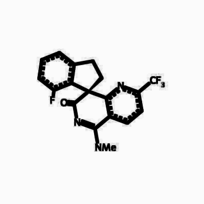 CNC1=NC(=O)[C@@]2(CCc3cccc(F)c32)c2nc(C(F)(F)F)ccc21